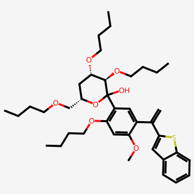 C=C(c1cc2ccccc2s1)c1cc(C2(O)O[C@H](COCCCC)C[C@H](OCCCC)[C@H]2OCCCC)c(OCCCC)cc1OC